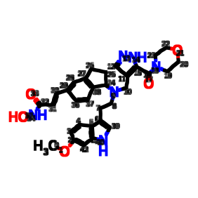 COc1ccc2c(CCN(Cc3cn[nH]c3C(=O)N3CCOCC3)C3CCc4cc(C=CC(=O)NO)ccc43)c[nH]c2c1